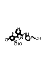 O=COc1cc(Cl)cc(F)c1-c1nnc(N[C@@H]2CCCN(CCO)C2)c2cnccc12